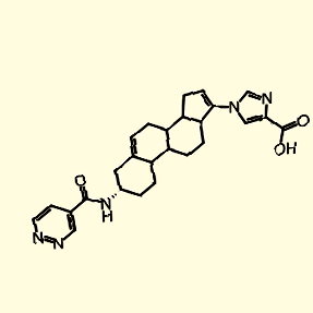 O=C(N[C@H]1CCC2C(=CCC3C2CCC2C(n4cnc(C(=O)O)c4)=CCC23)C1)c1ccnnc1